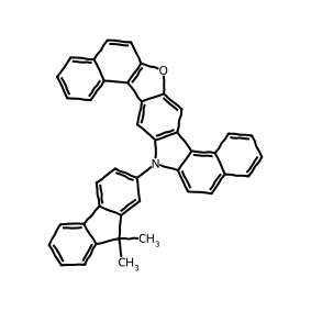 CC1(C)c2ccccc2-c2ccc(-n3c4cc5c(cc4c4c6ccccc6ccc43)oc3ccc4ccccc4c35)cc21